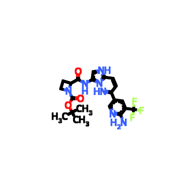 CC(C)(C)OC(=O)N1CCC1C(=O)Nc1c[nH]c(/C=C\C(=N)c2cnc(N)c(C(F)(F)F)c2)n1